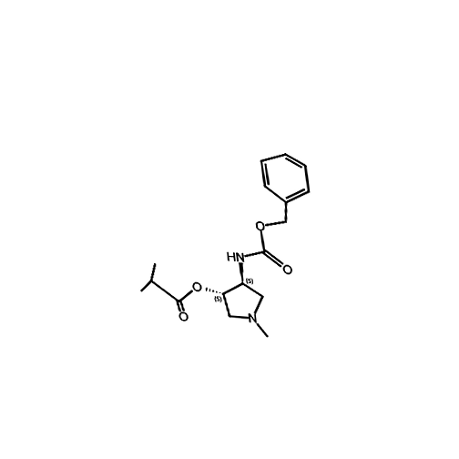 CC(C)C(=O)O[C@H]1CN(C)C[C@@H]1NC(=O)OCc1ccccc1